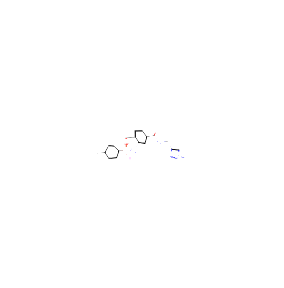 Cc1ccc(S(=O)(=O)Nc2cc(C(=O)NCc3cn(C)cn3)ccc2C)cc1